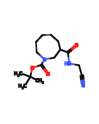 CC(C)(C)OC(=O)N1CCCCCC(C(=O)NCC#N)C1